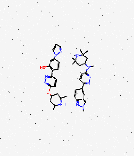 CC1CC(Oc2ccc(-c3ccc(-n4cccn4)cc3O)nn2)CC(C)N1.CN(c1ccc(-c2ccc3nn(C)cc3c2)nn1)C1CC(C)(C)NC(C)(C)C1